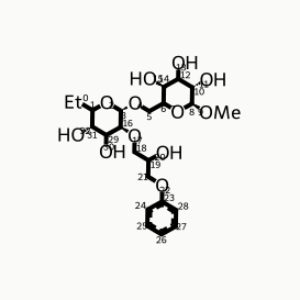 CCC1O[C@H](OCC2O[C@H](OC)[C@@H](O)C(O)[C@@H]2O)[C@@H](OCC(O)COc2ccccc2)C(O)[C@@H]1O